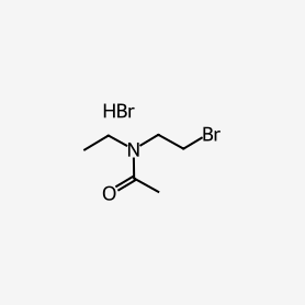 Br.CCN(CCBr)C(C)=O